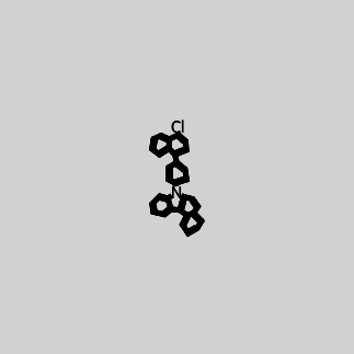 Clc1ccc(-c2ccc(-n3c4ccccc4c4c5ccccc5ccc43)cc2)c2ccccc12